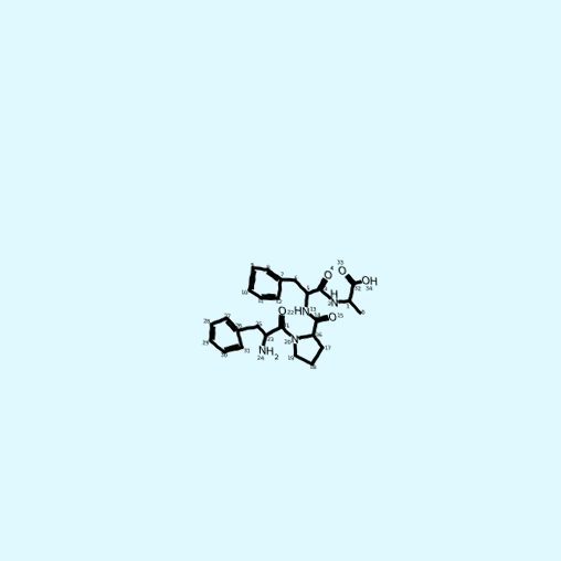 CC(NC(=O)C(Cc1ccccc1)NC(=O)C1CCCN1C(=O)C(N)Cc1ccccc1)C(=O)O